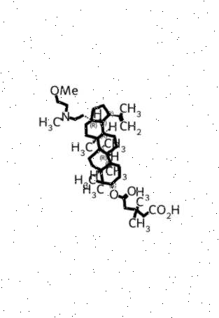 C=C(C)[C@@H]1CC[C@]2(CCN(C)CCOC)CC[C@]3(C)[C@H](CC[C@@H]4[C@@]5(C)CC[C@H](OC(=O)CC(C)(C)CC(=O)O)C(C)(C)[C@@H]5CC[C@]43C)[C@@H]12